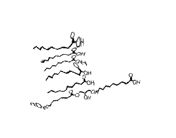 CCCCCCCCCC(=O)O.CCCCCCCCCC(=O)O.CCCCCCCCCC(=O)O.CCCCCCCCCC(=O)O.CCCCCCCCCC(=O)O.CCCCCCCCCC(=O)O.CCCCCCCCCCCCC/C=C/C(=O)OCC(O)CO